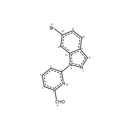 O=Cc1cccc(-n2ncc3ccc(Br)cc32)n1